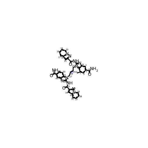 Cc1cc(C(N)=O)cc2nc(NC(=O)c3cc4ccccn4n3)n(C/C=C/Cn3c(NC(=O)c4cc5ccccn5n4)nc4cc(C(N)=O)ccc43)c12